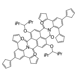 CC(C)C(Oc1cc2c3c(c(OC(C(C)C)C(C)C)cc4c3c1C(=O)N(c1c(C3=CC=CC3)cc(C3=CC=CC3)cc1C1=CC=CC1)C4=O)C(=O)N(c1c(C3=CC=CC3)cc(C3=CC=CC3)cc1C1=CC=CC1)C2=O)C(C)C